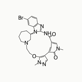 Cn1ncc2c1OCCN1CCCCC(C)(C1)n1c(nc3ccc(Br)cc31)NC(=O)c1cc-2c(=O)n(C)c1